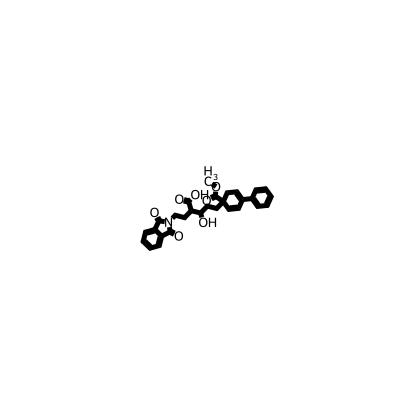 COC(=O)C1(CCC(O)C(CCN2C(=O)c3ccccc3C2=O)C(=O)O)C=CC(c2ccccc2)=CC1